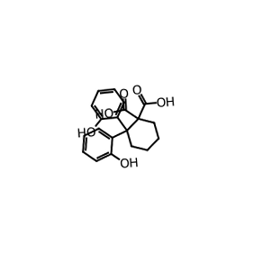 O=C(O)C1(C(=O)O)CCCCC1(c1ccccc1O)c1ccccc1O